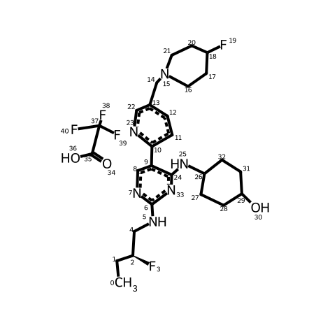 CC[C@H](F)CNc1ncc(-c2ccc(CN3CCC(F)CC3)cn2)c(NC2CCC(O)CC2)n1.O=C(O)C(F)(F)F